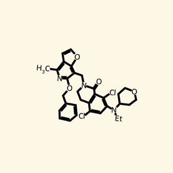 CCN(c1cc(Cl)c2c(c1Cl)C(=O)N(Cc1c(OCc3ccccc3)nc(C)c3ccoc13)CC2)C1CCOCC1